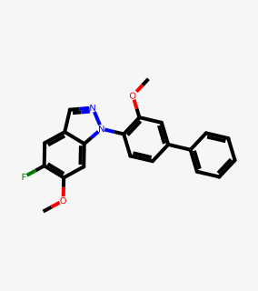 COc1cc2c(cnn2-c2ccc(-c3ccccc3)cc2OC)cc1F